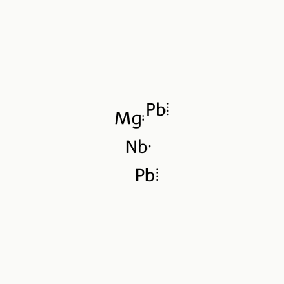 [Mg].[Nb].[Pb].[Pb]